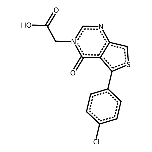 O=C(O)Cn1cnc2csc(-c3ccc(Cl)cc3)c2c1=O